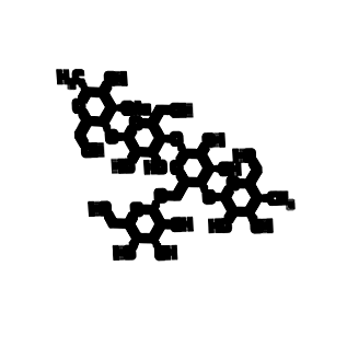 CC(=O)O[C@H]1C(O)[C@@H](C)OC(CO)[C@H]1O[C@H]1OC(CO)[C@@H](O[C@H]2OC(CO[C@H]3OC(CO)[C@H](O)[C@@H](O)C3O)[C@@H](O[C@H]3OC(CO)[C@@H](C)[C@@H](O)C3O)[C@@H](O)C2O)[C@@H](O)C1O